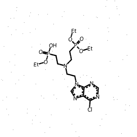 CCOP(=O)(O)CCN(CCn1cnc2c(Cl)ncnc21)CCP(=O)(OCC)OCC